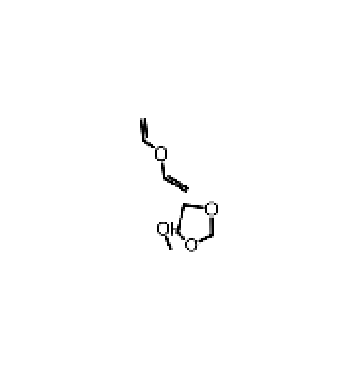 C1COCO1.C=COC=C.CO